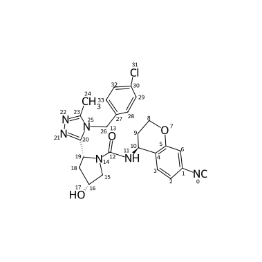 [C-]#[N+]c1ccc2c(c1)OCC[C@@H]2NC(=O)N1C[C@H](O)C[C@@H]1c1nnc(C)n1Cc1ccc(Cl)cc1